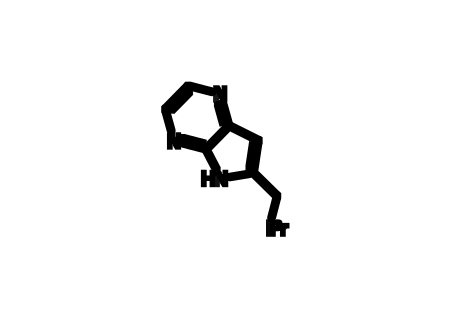 CC(C)Cc1cc2nccnc2[nH]1